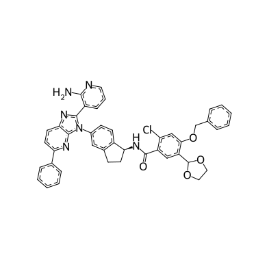 Nc1ncccc1-c1nc2ccc(-c3ccccc3)nc2n1-c1ccc2c(c1)CC[C@@H]2NC(=O)c1cc(C2OCCO2)c(OCc2ccccc2)cc1Cl